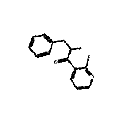 CC(Cc1ccccc1)C(=O)c1cccnc1F